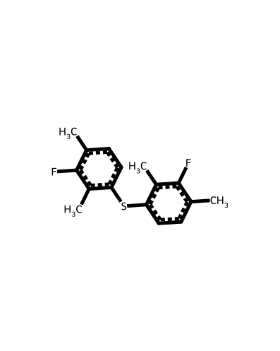 Cc1ccc(Sc2ccc(C)c(F)c2C)c(C)c1F